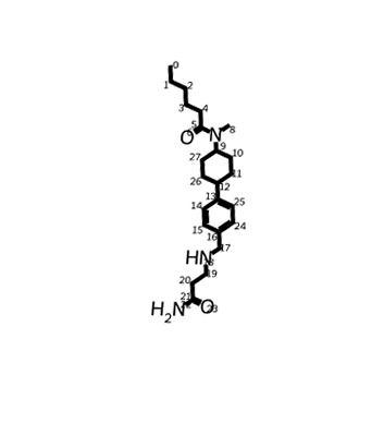 CCCCCC(=O)N(C)C1CCC(c2ccc(CNCCC(N)=O)cc2)CC1